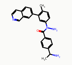 Cc1ccc(N(N)C(=O)c2ccc(C(C)N)cc2)cc1-c1ccc2ccncc2c1